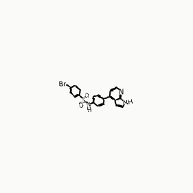 O=S(=O)(Nc1ccc(-c2ccnc3[nH]ccc23)cc1)c1ccc(Br)cc1